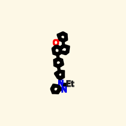 CCc1nc2ccccc2n1-c1ccc(-c2ccc(-c3ccc4c5c(cccc35)-c3ccccc3O4)cc2)cc1